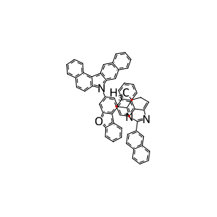 CC1C/C=C(c2cccc3ccccc23)/N=C(c2ccc3ccccc3c2)\N=C/1c1cc(-n2c3cc4ccccc4cc3c3c4ccccc4ccc32)cc2oc3ccccc3c12